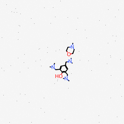 CN(C)Cc1cc(CN(C)C)c(O)c(CN(C)C)c1.CN1CCOCC1